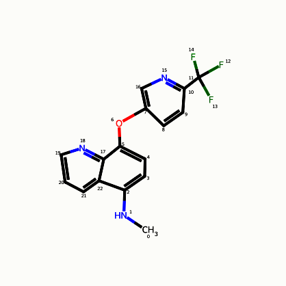 CNc1ccc(Oc2ccc(C(F)(F)F)nc2)c2ncccc12